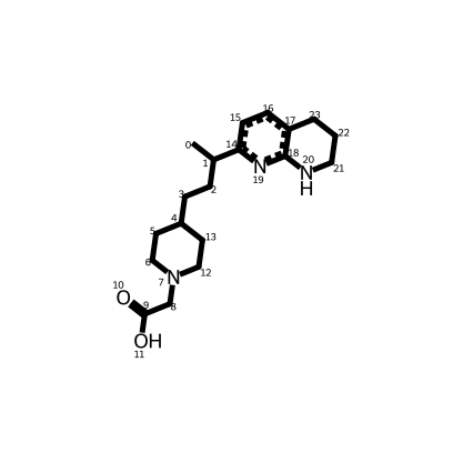 CC(CCC1CCN(CC(=O)O)CC1)c1ccc2c(n1)NCCC2